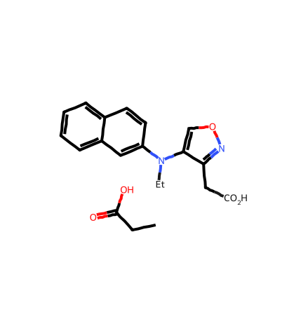 CCC(=O)O.CCN(c1ccc2ccccc2c1)c1conc1CC(=O)O